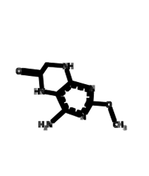 COc1nc(N)c2c(n1)NCC(=O)N2